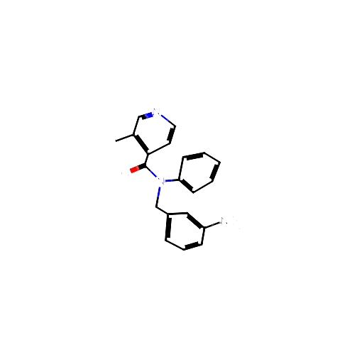 Cc1cnccc1C(=O)N(Cc1cccc([N+](=O)[O-])c1)c1ccccc1